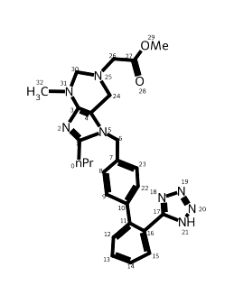 CCCc1nc2c(n1Cc1ccc(-c3ccccc3-c3nnn[nH]3)cc1)CN(CC(=O)OC)CN2C